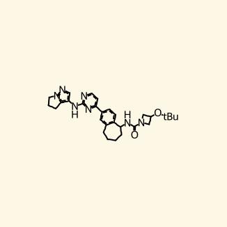 CC(C)(C)OC1CN(C(=O)NC2CCCCc3cc(-c4ccnc(Nc5cnn6c5CCC6)n4)ccc32)C1